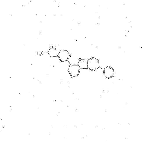 CC(C)Cc1ccnc(-c2cccc3c2oc2ccc(-c4ccccc4)cc23)c1